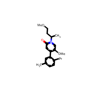 COCCC(C)n1cc(OC)c(-c2cc(C)ccc2C(C)C)cc1=O